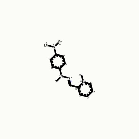 CCN(CC)c1ccc(N(C)/N=C/c2cccc[n+]2C)cc1